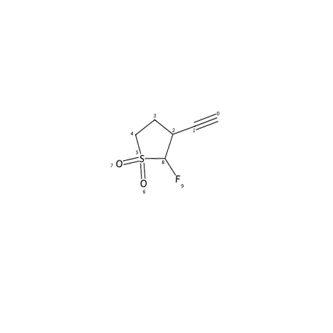 C#CC1CCS(=O)(=O)C1F